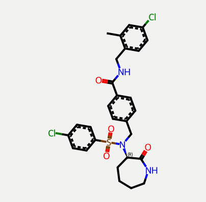 Cc1cc(Cl)ccc1CNC(=O)c1ccc(CN([C@@H]2CCCCNC2=O)S(=O)(=O)c2ccc(Cl)cc2)cc1